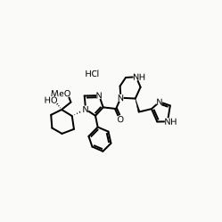 COC[C@]1(O)CCCC[C@H]1n1cnc(C(=O)N2CCNC[C@H]2Cc2c[nH]cn2)c1-c1ccccc1.Cl